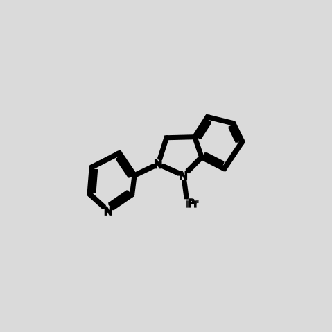 CC(C)N1c2ccccc2CN1c1cccnc1